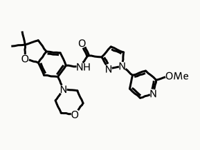 COc1cc(-n2ccc(C(=O)Nc3cc4c(cc3N3CCOCC3)OC(C)(C)C4)n2)ccn1